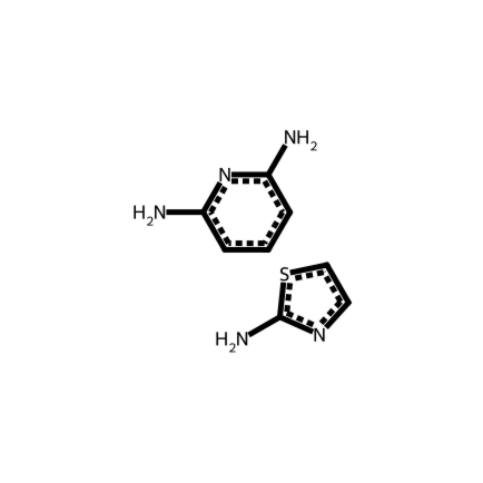 Nc1cccc(N)n1.Nc1nccs1